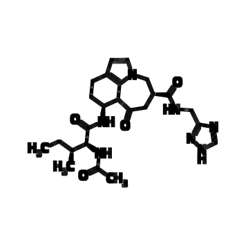 CC[C@H](C)[C@H](NC(C)=O)C(=O)N[C@H]1CCc2ccn3c2C1C(=O)C[C@H](C(=O)NCc1nc[nH]n1)C3